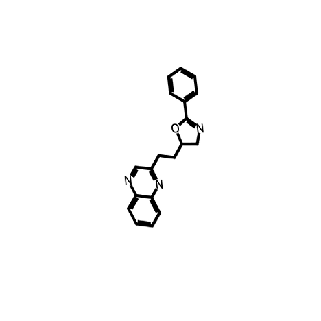 c1ccc(C2=NCC(CCc3cnc4ccccc4n3)O2)cc1